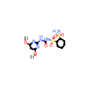 CCOc1cc(OCC)nc(NC(=O)NS(=O)(=O)c2ccccc2S(N)(=O)=O)n1